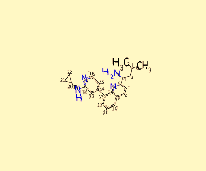 CC(C)CC(N)c1ccc2cccc(-c3ccnc(NC4CC4)c3)c2n1